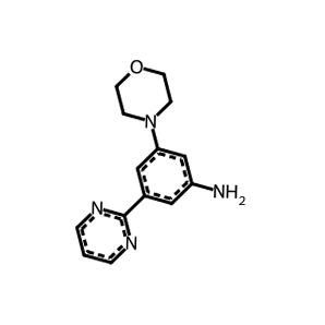 Nc1cc(-c2ncccn2)cc(N2CCOCC2)c1